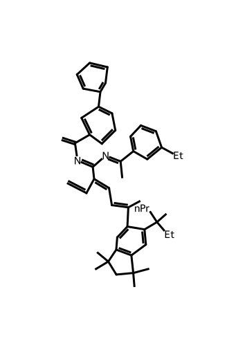 C=CC(=C\C=C(/C)c1cc2c(cc1C(C)(CC)CCC)C(C)(C)CC2(C)C)/C(=N/C(=C)c1cccc(-c2ccccc2)c1)/N=C(\C)c1cccc(CC)c1